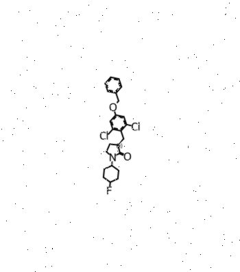 O=C1[C@H](Cc2c(Cl)cc(OCc3ccccc3)cc2Cl)CCN1C1CCC(F)CC1